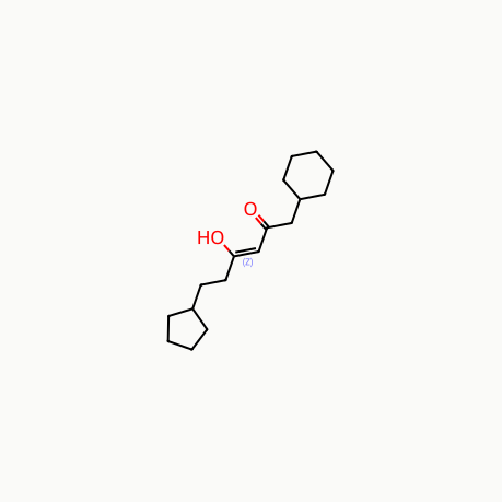 O=C(/C=C(\O)CCC1CCCC1)CC1CCCCC1